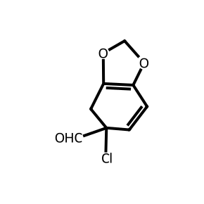 O=CC1(Cl)C=CC2=C(C1)OCO2